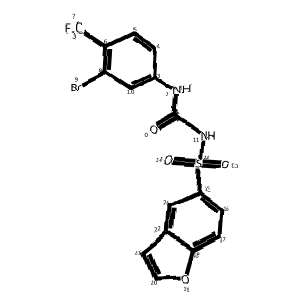 O=C(Nc1ccc(C(F)(F)F)c(Br)c1)NS(=O)(=O)c1ccc2occc2c1